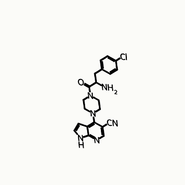 N#Cc1cnc2[nH]ccc2c1N1CCN(C(=O)C(N)Cc2ccc(Cl)cc2)CC1